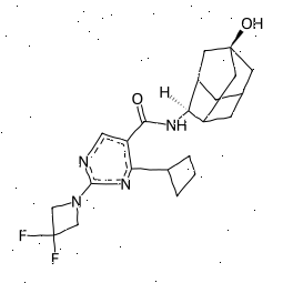 O=C(N[C@H]1C2CC3CC1C[C@@](O)(C3)C2)c1cnc(N2CC(F)(F)C2)nc1C1CCC1